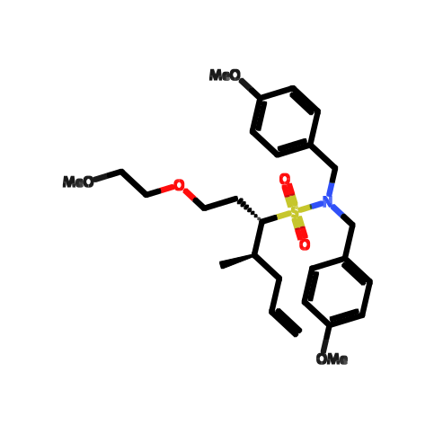 C=CC[C@@H](C)[C@H](CCOCCOC)S(=O)(=O)N(Cc1ccc(OC)cc1)Cc1ccc(OC)cc1